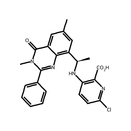 Cc1cc([C@@H](C)Nc2ccc(Cl)nc2C(=O)O)c2nc(-c3ccccc3)n(C)c(=O)c2c1